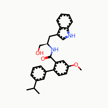 COc1ccc(-c2cccc(C(C)C)c2)c(C(=O)N[C@@H](CO)Cc2c[nH]c3ccccc23)c1